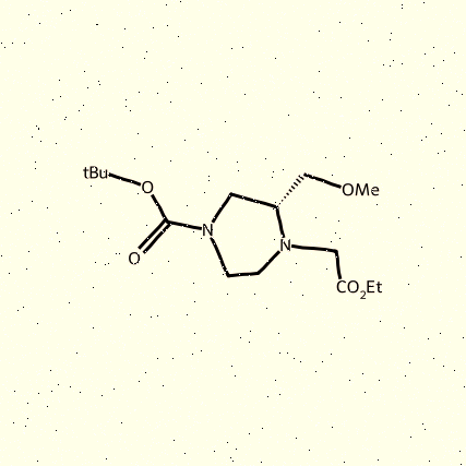 CCOC(=O)CN1CCN(C(=O)OC(C)(C)C)C[C@@H]1COC